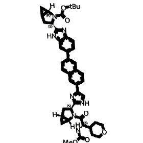 COC(=O)N[C@H](C(=O)N1[C@@H]2C[C@@H]2C[C@H]1c1nc(-c2ccc3cc(-c4ccc5nc([C@@H]6CC7C[C@H]7N6C(=O)OC(C)(C)C)[nH]c5c4)ccc3c2)c[nH]1)C1CCOCC1